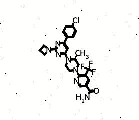 C[C@H]1CN(c2ncc(C(N)=O)cc2C(F)(F)F)CCN1c1cc(-c2ccc(Cl)cc2)nc(N2CCC2)n1